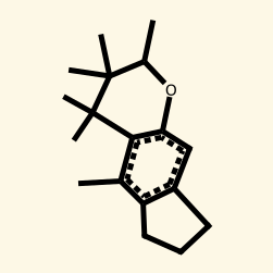 Cc1c2c(cc3c1C(C)(C)C(C)(C)C(C)O3)CCC2